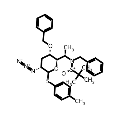 Cc1ccc(SC2O[C@H]([C@@H](C)N(Cc3ccccc3)[S@+]([O-])C(C)(C)C)[C@@H](OCc3ccccc3)C[C@H]2N=[N+]=[N-])cc1